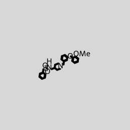 COc1ccccc1Oc1cccc(CN2CCC(CNS(=O)(=O)Cc3ccccc3)CC2)c1